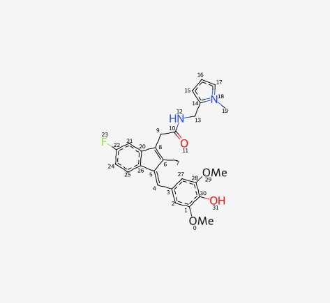 COc1cc(C=C2C(C)=C(CC(=O)NCc3cccn3C)c3cc(F)ccc32)cc(OC)c1O